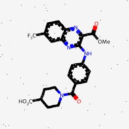 COC(=O)c1nc2ccc(C(F)(F)F)cc2nc1Nc1ccc(C(=O)N2CCC(C(=O)O)CC2)cc1